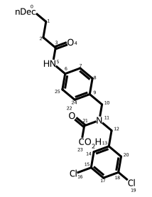 CCCCCCCCCCCCC(=O)Nc1ccc(CN(Cc2cc(Cl)cc(Cl)c2)C(=O)C(=O)O)cc1